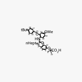 CCCCCCCN(Cc1ccc(OC(C)(C)C(=O)O)cc1)C(=O)Nc1ccc(OC)cc1OCc1ccc(C(C)(C)C)cc1